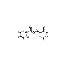 Cc1ccccc1OOC(=O)c1ccccc1